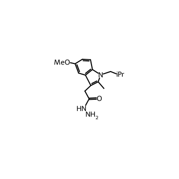 COc1ccc2c(c1)c(CC(=O)NN)c(C)n2CC(C)C